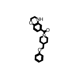 O=C(c1ccc2c(c1)NCCO2)N1CCC(COc2ccccc2)CC1